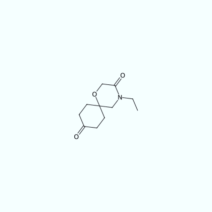 CCN1CC2(CCC(=O)CC2)OCC1=O